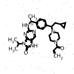 C=CC(=O)N1CCN(C(CC2CC2)c2ccc([C@H](C)Nc3ncc4[nH]c(=O)n(C(C)C)c4n3)cc2)CC1